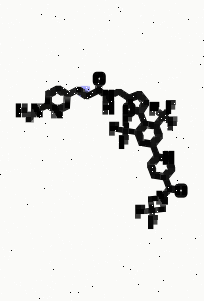 Nc1ccc(/C=C/C(=O)NCc2ccc(-c3c(C(F)(F)F)cc(-c4ccc(C(=O)N5CC(F)(F)C5)cn4)cc3C(F)(F)F)o2)cn1